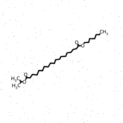 CCCCCCCOC(=O)CCCCCCCCCCCCCCCCCC(=O)OC(C)C